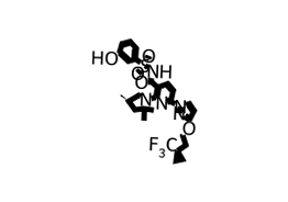 C[C@@H]1CN(c2nc(-n3ccc(OCCC4(C(F)(F)F)CC4)n3)ccc2C(=O)NS(=O)(=O)c2cccc(O)c2)C(C)(C)C1